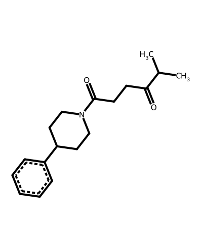 CC(C)C(=O)CCC(=O)N1CCC(c2ccccc2)CC1